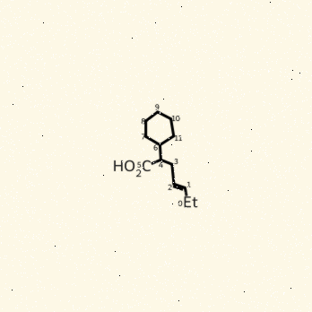 CCC=CCC(C(=O)O)C1CCCCC1